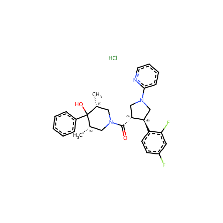 C[C@@H]1CN(C(=O)[C@@H]2CN(c3ccccn3)C[C@H]2c2ccc(F)cc2F)C[C@H](C)C1(O)c1ccccc1.Cl